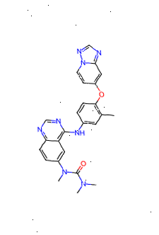 Cc1cc(Nc2ncnc3ccc(N(C)C(=O)N(C)C)cc23)ccc1Oc1ccn2ncnc2c1